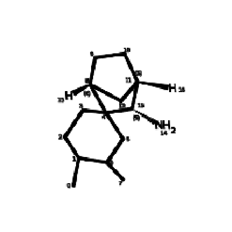 CC1CCC2(CC1C)[C@@H]1CC[C@@H](C1)[C@@H]2N